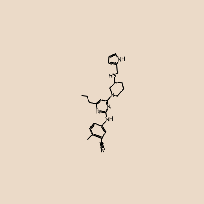 CCCc1cc(N2CCCC(NCc3ccc[nH]3)C2)nc(Nc2ccc(C)c(C#N)c2)n1